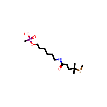 CSC(C)(C)CCC(=O)NCCCCCCOP(C)(=O)O